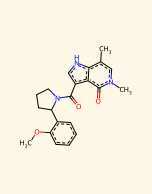 COc1ccccc1C1CCCN1C(=O)c1c[nH]c2c(C)cn(C)c(=O)c12